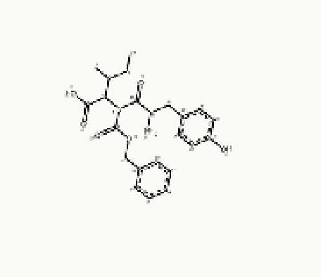 CCC(C)C(C(=O)O)N(C(=O)OCc1ccccc1)C(=O)C(N)Cc1ccc(O)cc1